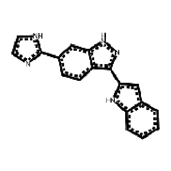 c1ccc2[nH]c(-c3n[nH]c4cc(-c5ncc[nH]5)ccc34)cc2c1